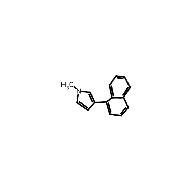 Cn1ccc(-c2cccc3ccccc23)c1